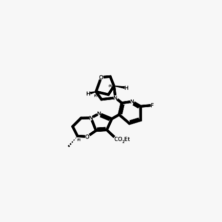 CCOC(=O)c1c(-c2ccc(F)nc2N2C[C@H]3C[C@@H]2CO3)nn2c1O[C@H](C)CC2